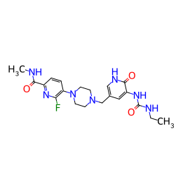 CCNC(=O)Nc1cc(CN2CCN(c3ccc(C(=O)NC)nc3F)CC2)c[nH]c1=O